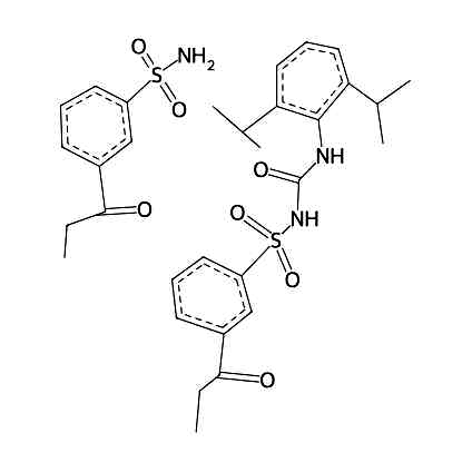 CCC(=O)c1cccc(S(=O)(=O)NC(=O)Nc2c(C(C)C)cccc2C(C)C)c1.CCC(=O)c1cccc(S(N)(=O)=O)c1